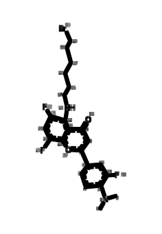 CN(C)c1ccc(-c2cc(=O)c3c(NCCCCCCBr)c(F)cc(F)c3o2)cc1F